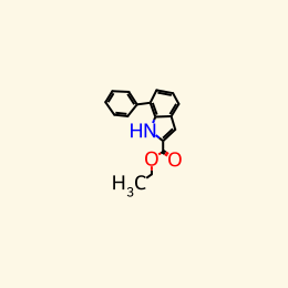 CCOC(=O)c1cc2cccc(-c3ccccc3)c2[nH]1